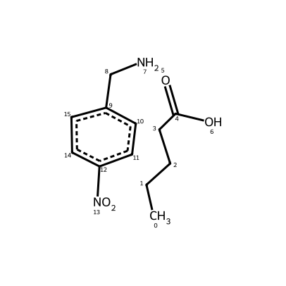 CCCCC(=O)O.NCc1ccc([N+](=O)[O-])cc1